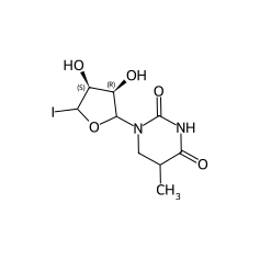 CC1CN(C2OC(I)[C@@H](O)[C@H]2O)C(=O)NC1=O